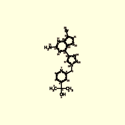 CC(C)(O)c1ccnc(Cn2cc(-c3nc(N)nc4c(Br)csc34)nn2)c1